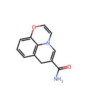 NC(=O)C1=CN2C=COc3cccc(c32)C1